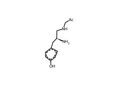 CC(=O)CNC[C@@H](N)Cc1ccc(O)cc1